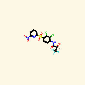 C[C@@](O)(C(=O)Nc1ccc(S(=O)(=O)c2cccc([N+](=O)[O-])n2)c(Cl)c1Cl)C(F)(F)F